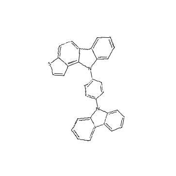 c1ccc2c(c1)c1ccccc1n2-c1ccc(-n2c3ccccc3c3ccc4sccc4c32)cc1